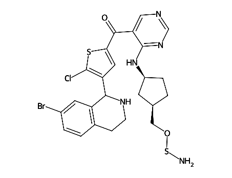 NSOC[C@@H]1CC[C@H](Nc2ncncc2C(=O)c2cc(C3NCCc4ccc(Br)cc43)c(Cl)s2)C1